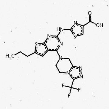 CCCc1cc2c(N3CCn4c(nnc4C(F)(F)F)C3)nc(Nc3nc(C(=O)O)cs3)nc2s1